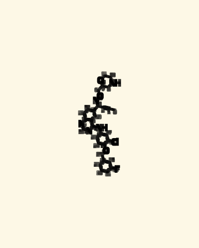 CC#C/C(=N\OCC1CNCCO1)c1ccc2ncnc(Nc3ccc(OCc4cccc(F)c4)c(Cl)c3)c2c1